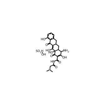 CN(C)CC(=O)NC(=O)C1=C(O)C(N)C2CC3Cc4cccc(O)c4C(=O)C3=C(O)C2(O)C1=O.O=S(=O)(O)O